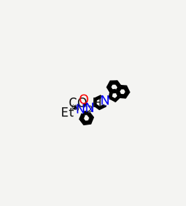 CC[C@@H](C(=O)O)n1c(=O)n(C2CCN(C3Cc4cccc5cccc3c45)CC2)c2ccccc21